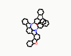 c1ccc2c(c1)-c1cccc3cc(-n4c5ccccc5c5ccc6c7c8c(ccc7n(-c7ccc9ccccc9c7)c6c54)oc4ccccc48)cc-2c13